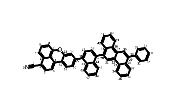 N#Cc1ccc2c3c(cccc13)Oc1cc(-c3ccc(-c4cc5c6ccccc6c(-c6ccccc6)cc5c5ccccc45)c4ccccc34)ccc1-2